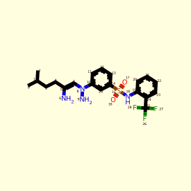 CC(C)CC/C(N)=C/N(N)c1cccc(S(=O)(=O)Nc2ccccc2C(F)(F)F)c1